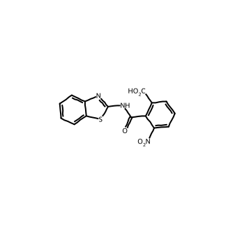 O=C(O)c1cccc([N+](=O)[O-])c1C(=O)Nc1nc2ccccc2s1